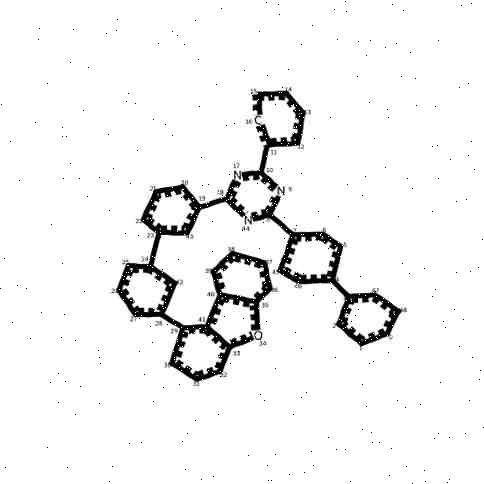 c1ccc(-c2ccc(-c3nc(-c4ccccc4)nc(-c4cccc(-c5cccc(-c6cccc7oc8ccccc8c67)c5)c4)n3)cc2)cc1